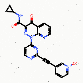 O=C(NC1CC1)c1nn(-c2ccnc(C#Cc3ccc[n+]([O-])c3)n2)c2ncccc2c1=O